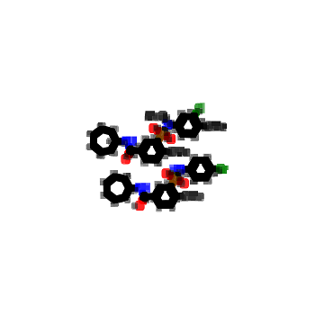 COc1ccc(C(=O)NC2CCCCCC2)cc1S(=O)(=O)Nc1ccc(Br)cc1.COc1ccc(N(OC)S(=O)(=O)c2cc(C(=O)NC3CCCCCC3)ccc2OC)cc1Cl